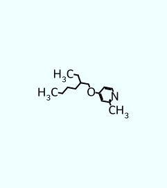 CCCCC(CC)COc1ccnc(C)c1